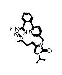 CCCCc1cn(C(C)C)c(=O)n1Cc1ccc(-c2ccccc2-c2nnn[nH]2)nc1